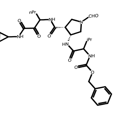 CCCC(NC(=O)[C@@H]1CN(C=O)C[C@@H]1NC(=O)C(NC(=O)OCc1ccccc1)C(C)C)C(=O)C(=O)NC1CC1